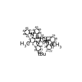 Cc1cc2c3c(c1)N(c1ccc(C(C)(C)C)cc1)c1cc(N4c5ccccc5C5(C)CCCCC45C)ccc1B3c1ccccc1N2c1ccccc1